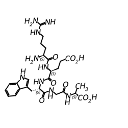 C[C@H](NC(=O)CNC(=O)[C@H](Cc1c[nH]c2ccccc12)NC(=O)[C@H](CCC(=O)O)NC(=O)[C@@H](N)CCCNC(=N)N)C(=O)O